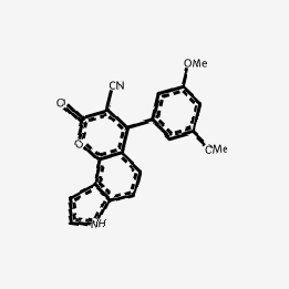 COc1cc(OC)cc(-c2c(C#N)c(=O)oc3c2ccc2[nH]ccc23)c1